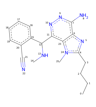 CCCCc1nc2c(N)nnc(C(NC)c3ccccc3C#N)c2n1C